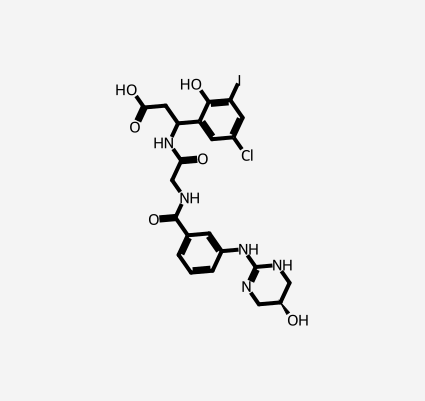 O=C(O)CC(NC(=O)CNC(=O)c1cccc(NC2=NC[C@H](O)CN2)c1)c1cc(Cl)cc(I)c1O